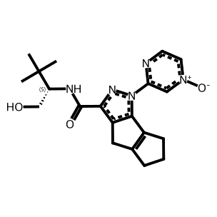 CC(C)(C)[C@@H](CO)NC(=O)c1nn(-c2c[n+]([O-])ccn2)c2c1CC1=C2CCC1